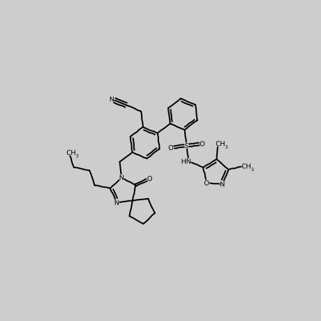 CCCCC1=NC2(CCCC2)C(=O)N1Cc1ccc(-c2ccccc2S(=O)(=O)Nc2onc(C)c2C)c(CC#N)c1